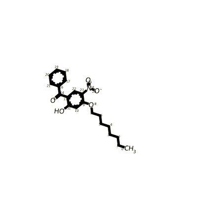 CCCCCCCCOc1cc(O)c(C(=O)c2ccccc2)cc1[N+](=O)[O-]